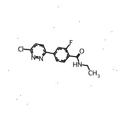 CCNC(=O)c1ccc(-c2ccc(Cl)nn2)cc1F